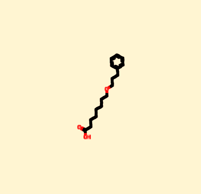 O=C(O)CCCCCCCOCCCc1ccccc1